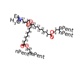 CCCCCC(CCCCC)CCOC(=O)CCCCCCCCC1(CCCCCCCCC(=O)OCCC(CCCCC)CCCCC)OCC(CCN(C)CC)O1